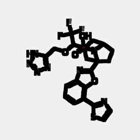 O=C(O)N1C2CCC1(c1nc3cccc(-c4nccs4)c3o1)CN(C(OCc1nnn[nH]1)C(F)(F)F)C2